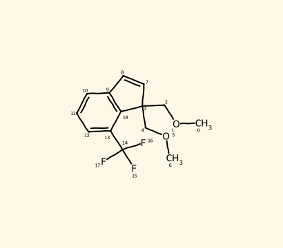 COCC1(COC)C=Cc2cccc(C(F)(F)F)c21